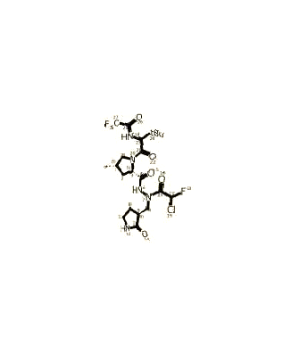 C[C@H]1C[C@@H](C(=O)NN(C[C@@H]2CCNC2=O)C(=O)C(F)Cl)N(C(=O)C(NC(=O)C(F)(F)F)C(C)(C)C)C1